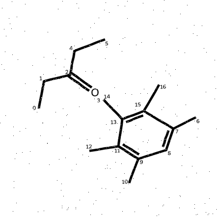 CCC(=O)CC.Cc1cc(C)c(C)c(C)c1C